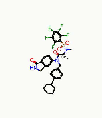 C[C@H](C(=O)N(Cc1ccc(C2CCCCC2)cc1)c1ccc2c(c1)CNC2=O)N(C)S(=O)(=O)c1c(F)c(F)c(F)c(F)c1F